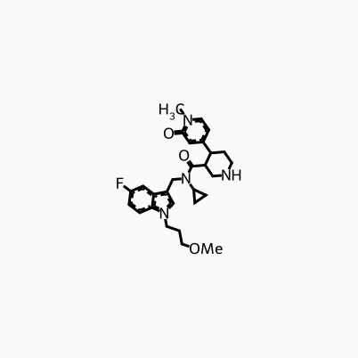 COCCCn1cc(CN(C(=O)C2CNCCC2c2ccn(C)c(=O)c2)C2CC2)c2cc(F)ccc21